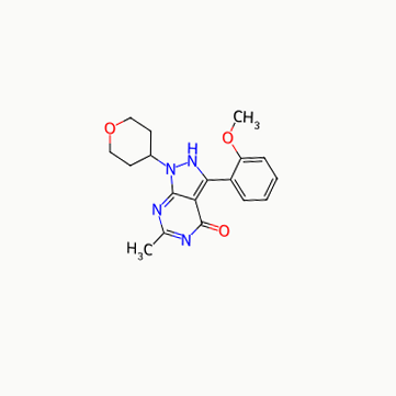 COc1ccccc1-c1[nH]n(C2CCOCC2)c2nc(C)nc(=O)c1-2